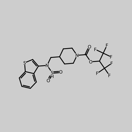 O=C(OC(C(F)(F)F)C(F)(F)F)N1CCC(CN(c2csc3ccccc23)[SH](=O)=O)CC1